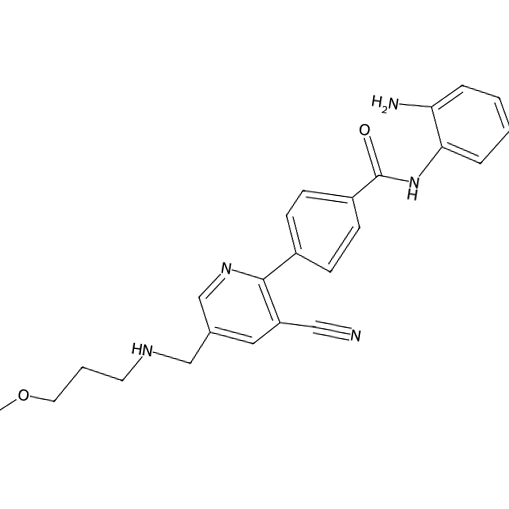 COCCCNCc1cnc(-c2ccc(C(=O)Nc3ccccc3N)cc2)c(C#N)c1